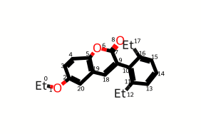 CCOc1ccc2oc(=O)c(-c3c(CC)cccc3CC)cc2c1